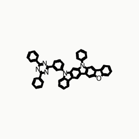 c1ccc(-c2nc(-c3ccccc3)nc(-c3cccc(-n4c5ccccc5c5cc6c7cc8oc9ccccc9c8cc7n(-c7ccccc7)c6cc54)c3)n2)cc1